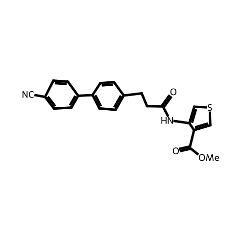 COC(=O)c1cscc1NC(=O)CCc1ccc(-c2ccc(C#N)cc2)cc1